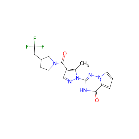 Cc1c(C(=O)N2CCC(CC(F)(F)F)C2)cnn1-c1nn2cccc2c(=O)[nH]1